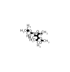 COC(=O)C(C(OC(C)=O)C(C)C)[C@@H](C)NC(=O)OC(C)(C)C